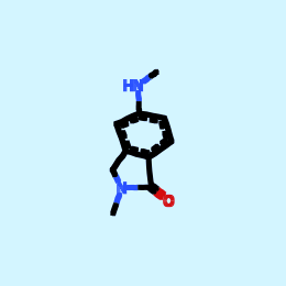 CNc1ccc2c(c1)CN(C)C2=O